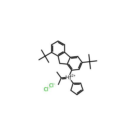 C[C](C)=[Hf+2]([C]1=CC=CC1)[c]1cc(C(C)(C)C)cc2c1Cc1c-2cccc1C(C)(C)C.[Cl-].[Cl-]